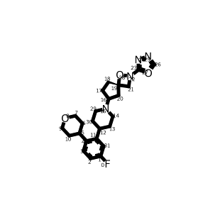 Fc1ccc(C2CCOCC2)c(C2CCN(C3CC[C@]4(C3)CN(c3nnco3)O4)CC2)c1